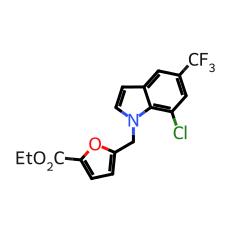 CCOC(=O)c1ccc(Cn2ccc3cc(C(F)(F)F)cc(Cl)c32)o1